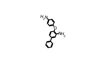 Nc1ccc(Oc2ccc(-c3ccccc3)cc2N)cc1